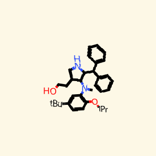 CC(C)Oc1ccc(C(C)(C)C)cc1N(C)C1C(CCO)CNC1C(c1ccccc1)c1ccccc1